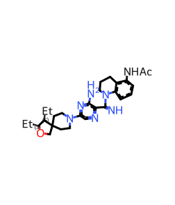 CC[C@@H]1OCC2(CCN(c3cnc(C(=N)N4CCCc5c(NC(C)=O)cccc54)c(N)n3)CC2)[C@@H]1CC